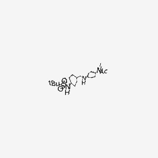 CC(=O)N(C)c1ccc(NCC2CCC(NS(=O)(=O)C(C)(C)C)CC2)cc1